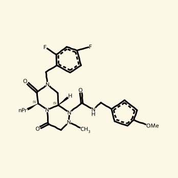 CCC[C@H]1C(=O)N(Cc2ccc(F)cc2F)C[C@H]2N1C(=O)CN(C)N2C(=O)NCc1ccc(OC)cc1